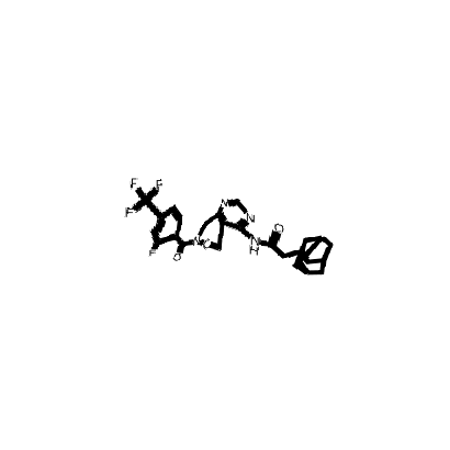 O=C(CC12CC3CC(CC(C3)C1)C2)Nc1ncnc2c1CCN(C(=O)c1ccc(C(F)(F)F)cc1F)C2